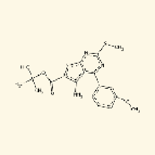 COc1cccc(-c2nc(SC)nc3sc(C(=O)OC(C)(C)C)c(N)c23)c1